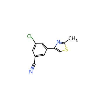 Cc1nc(-c2cc(Cl)cc(C#N)c2)cs1